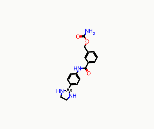 NC(=O)OCc1cccc(C(=O)Nc2ccc([As]3NCCN3)cc2)c1